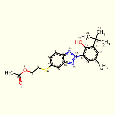 CC(=O)OCCSc1ccc2nn(-c3cc(C)cc(C(C)(C)C)c3O)nc2c1